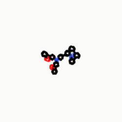 c1ccc(-c2cccc3c4ccccc4n(-c4cccc(-c5ccc(N(c6ccc7c(c6)oc6ccccc67)c6ccc7c(c6)oc6ccccc67)cc5)c4)c23)cc1